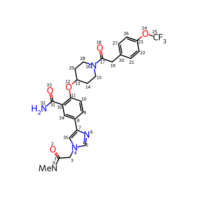 CNC(=O)Cn1cnc(-c2ccc(OC3CCN(C(=O)Cc4ccc(OC(F)(F)F)cc4)CC3)c(C(N)=O)c2)c1